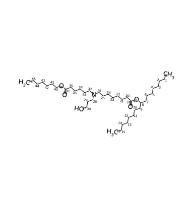 CCCCCCCCC(CCCCCCCC)OC(=O)CCCCCCCN(CCCO)CCCCCC(=O)OCCCCCCC